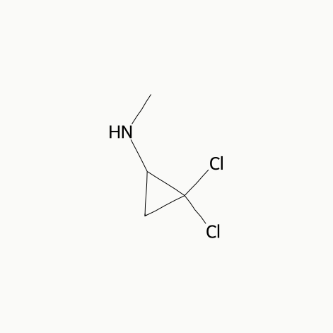 CNC1CC1(Cl)Cl